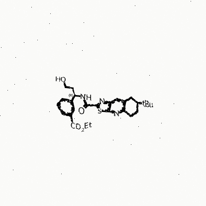 CCOC(=O)c1cccc([C@@H](CCO)NC(=O)c2nc3cc4c(nc3s2)CCC(C(C)(C)C)C4)c1